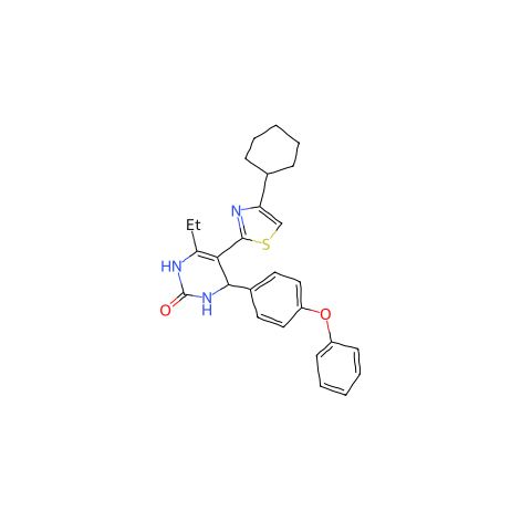 CCC1=C(c2nc(C3CCCCC3)cs2)C(c2ccc(Oc3ccccc3)cc2)NC(=O)N1